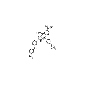 COc1ccc(Oc2ccc([N+](=O)[O-])cc2N(C=O)c2nnc(-c3cccc(Oc4cccc(C(F)(F)F)c4)c3)s2)cc1